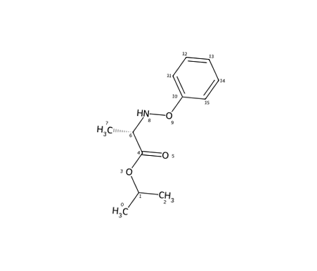 CC(C)OC(=O)[C@H](C)NOc1ccccc1